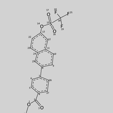 COC(=O)c1ccc(-c2ccc3cc(OS(=O)(=O)C(F)(F)F)ccc3c2)cc1